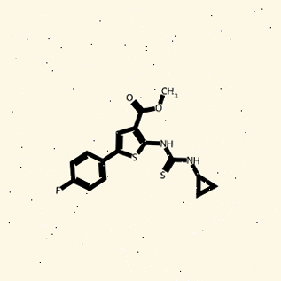 COC(=O)c1cc(-c2ccc(F)cc2)sc1NC(=S)NC1CC1